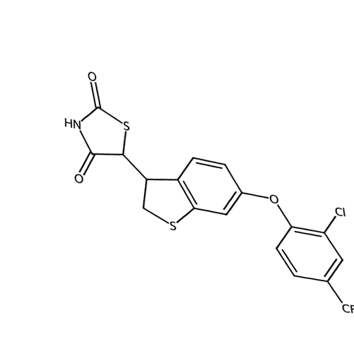 O=C1NC(=O)C(C2CSc3cc(Oc4ccc(C(F)(F)F)cc4Cl)ccc32)S1